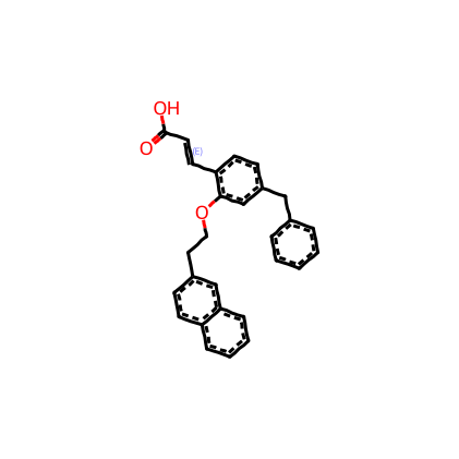 O=C(O)/C=C/c1ccc(Cc2ccccc2)cc1OCCc1ccc2ccccc2c1